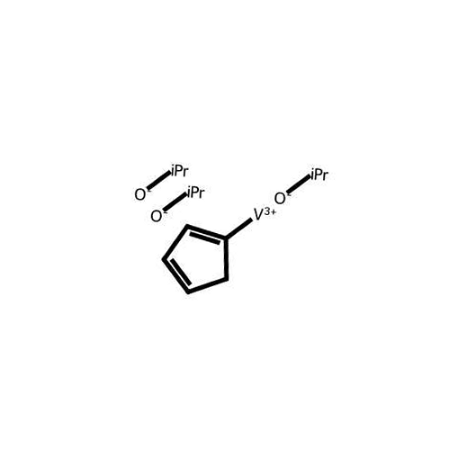 CC(C)[O-].CC(C)[O-].CC(C)[O-].[V+3][C]1=CC=CC1